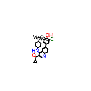 CNC1CCC(Nc2c(C(=O)C3CC3)cnc3ccc(-c4cc(Cl)c(O)c(OC)c4)cc23)CC1